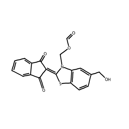 O=COCN1C(=C2C(=O)c3ccccc3C2=O)Sc2ccc(CO)cc21